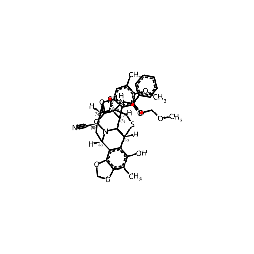 COCOc1c(OC)c(C)cc2c1[C@H]1C3[C@@H]4SC[C@H](NC(=O)c5ccccc5)C(=O)OC[C@@H](c5c6c(c(C)c(O)c54)OCO6)N3[C@@H](C#N)[C@H](C2)N1C